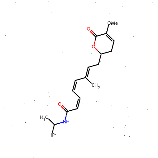 COC1=CCC(C/C=C(C)/C=C\C=C/C(=O)NC(C)C(C)C)OC1=O